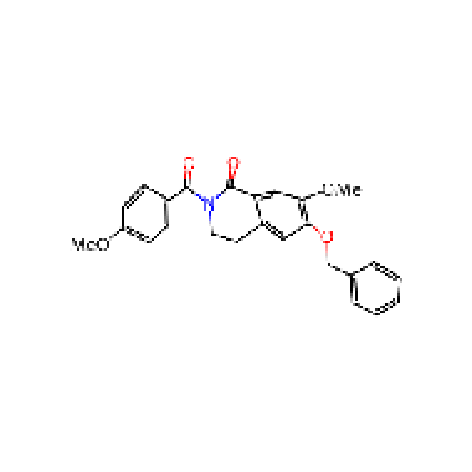 COc1ccc(C(=O)N2CCc3cc(OCc4ccccc4)c(OC)cc3C2=O)cc1